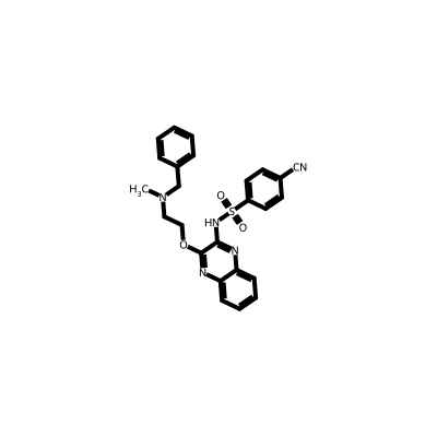 CN(CCOc1nc2ccccc2nc1NS(=O)(=O)c1ccc(C#N)cc1)Cc1ccccc1